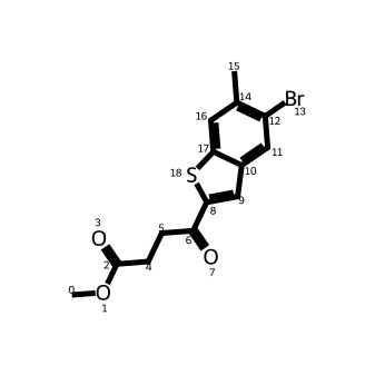 COC(=O)CCC(=O)c1cc2cc(Br)c(C)cc2s1